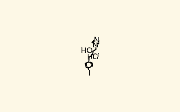 Cl.OC(CCc1ccc(I)cc1)Cn1ccnc1